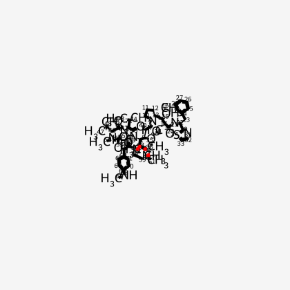 CC[C@H](C)[C@@H]([C@@H](CC(=O)N1CCC[C@H]1[C@H](OC)[C@@H](C)C(=O)N[C@@H](Cc1ccccc1)c1nccs1)OC)N(C)C(=O)[C@@H](NC(=O)[C@H](C(C)C)N(C)C(=O)OC(C(=O)N1CCN(C)CC1)c1ccc(NC)cc1)C(C)C